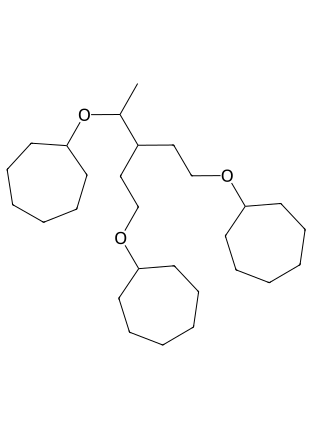 CC(OC1CCCCCC1)C(CCOC1CCCCCC1)CCOC1CCCCCC1